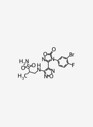 CC(CNc1nonc1-c1noc(=O)n1-c1ccc(F)c(Br)c1)S(N)(=O)=O